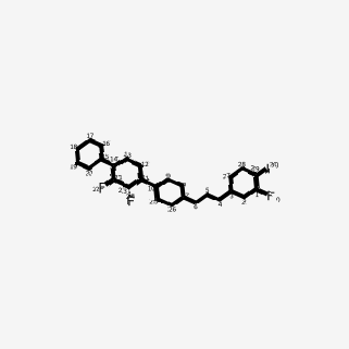 FC1CC(CCCC2CCC(C3CCC(C4CCCCC4)C(F)[C@H]3F)CC2)CCC1I